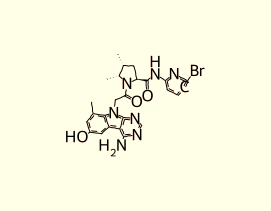 Cc1cc(O)cc2c3c(N)ncnc3n(CC(=O)N3[C@H](C)[C@H](C)C[C@H]3C(=O)Nc3cccc(Br)n3)c12